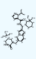 CC(C)n1nccc1C(=O)NC(c1cn2nc(CC3C[C@@H](C(F)(F)F)CNC3=O)ccc2n1)[C@H]1CCCC(F)(F)C1